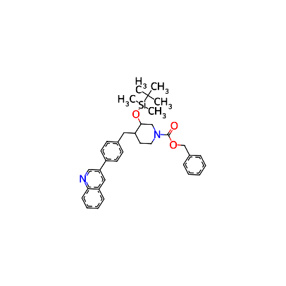 CC(C)(C)[Si](C)(C)OC1CN(C(=O)OCc2ccccc2)CCC1Cc1ccc(-c2cnc3ccccc3c2)cc1